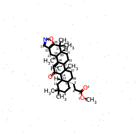 COC(=O)CC[C@]12CCC(C)(C)C[C@@H]1C1C(=O)C=C3[C@@]4(C)Cc5cnoc5C(C)(C)[C@@H]4CC[C@@]3(C)[C@]1(C)CC2